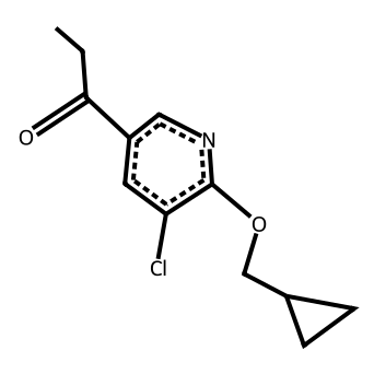 CCC(=O)c1cnc(OCC2CC2)c(Cl)c1